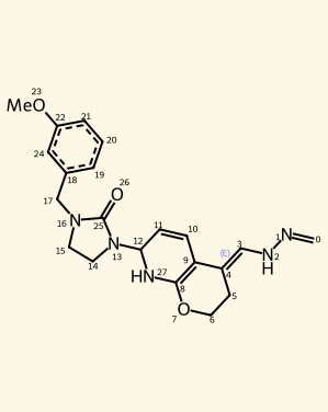 C=NN/C=C1\CCOC2=C1C=CC(N1CCN(Cc3cccc(OC)c3)C1=O)N2